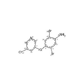 Nc1cc(Br)c(Oc2cncc(Cl)c2)cc1Br